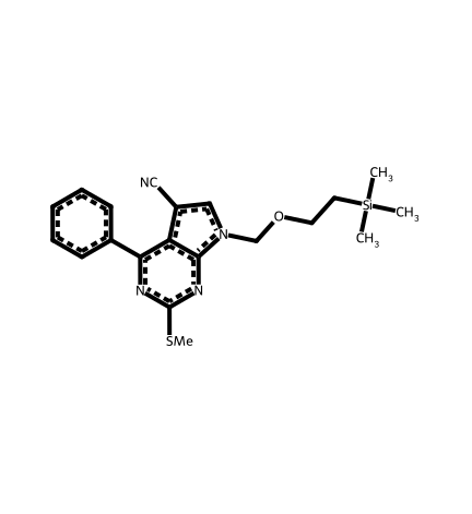 CSc1nc(-c2ccccc2)c2c(C#N)cn(COCC[Si](C)(C)C)c2n1